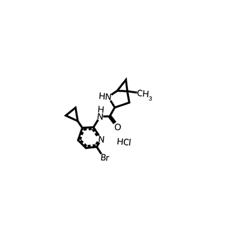 CC12CC(C(=O)Nc3nc(Br)ccc3C3CC3)NC1C2.Cl